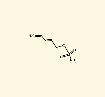 C=CC=CCOS(N)(=O)=O